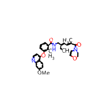 C=C/C(=C\C=C(/C)C(=O)N1CCOCC1)CNC(=O)c1cccc(Oc2ccnc3cc(OC)ccc23)c1C